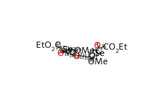 CCOC(=O)CCC(=O)c1cc2cc(CCCCOc3cc4cc(C(=O)CCC(=O)OCC)[se]c4cc3OC)c(OC)cc2[se]1